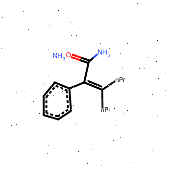 CCCC(CCC)=C(C(N)=O)c1ccccc1.N